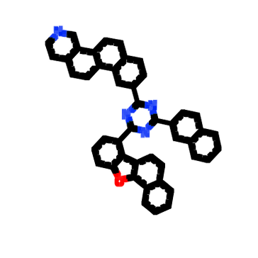 c1ccc2cc(-c3nc(-c4ccc5ccc6c7cnccc7ccc6c5c4)nc(-c4cccc5oc6c7ccccc7ccc6c45)n3)ccc2c1